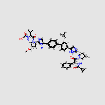 COC[C@H]1C[C@@H](c2ncc(-c3ccc(-c4ccc(-c5cnc([C@@H]6C[C@H](C)CN6C(=O)[C@H](NC(=O)C6CC6)c6ccccc6)[nH]5)cc4)cc3)[nH]2)N(C(=O)[C@@H](NC(=O)O)C(C)C)C1.C[C](C)C